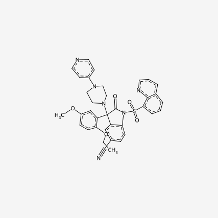 CCOc1ccc(OC)cc1C1(N2CCN(c3ccncc3)CC2)C(=O)N(S(=O)(=O)c2cccc3cccnc23)c2ccc(C#N)cc21